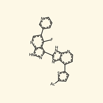 CC(=O)c1ccc(-c2ccnc3[nH]c(-c4n[nH]c5ncc(-c6cccnc6)c(F)c45)nc23)s1